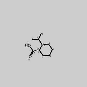 CC(C)N1CCCC[C@@H]1C(=O)O